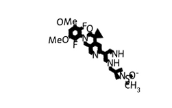 COc1cc(OC)c(F)c(N2Cc3cnc(/C(C=N)=C/NCC4CN([S+](C)[O-])C4)cc3C3(CC3)C2=O)c1F